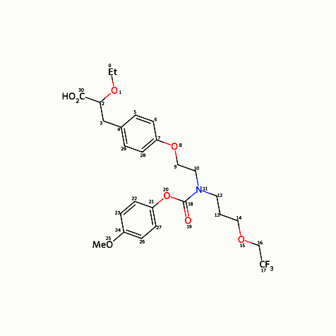 CCOC(Cc1ccc(OCCN(CCCOCC(F)(F)F)C(=O)Oc2ccc(OC)cc2)cc1)C(=O)O